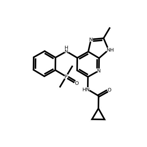 Cc1nc2c(Nc3ccccc3P(C)(C)=O)cc(NC(=O)C3CC3)nc2[nH]1